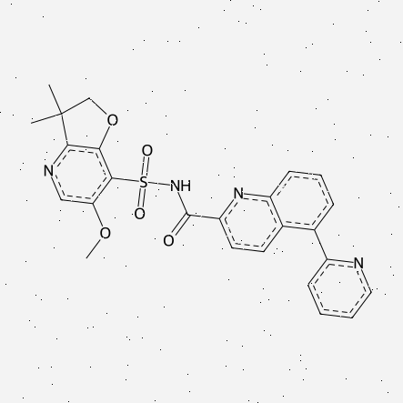 COc1cnc2c(c1S(=O)(=O)NC(=O)c1ccc3c(-c4ccccn4)cccc3n1)OCC2(C)C